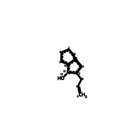 C=CCc1cc2ccccc2n1O